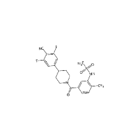 Cc1ccc(C(=O)N2CCC(c3cc(F)c(C#N)c(F)c3)CC2)cc1NS(C)(=O)=O